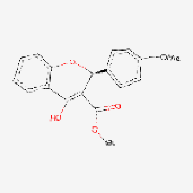 COc1ccc([C@@H]2Oc3ccccc3C(O)=C2C(=O)OC(C)(C)C)cc1